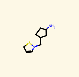 NC1CCC(CN2C=CCS2)C1